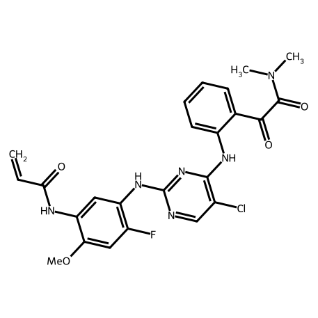 C=CC(=O)Nc1cc(Nc2ncc(Cl)c(Nc3ccccc3C(=O)C(=O)N(C)C)n2)c(F)cc1OC